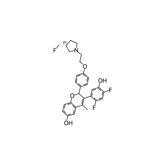 CC1=C(c2cc(O)c(F)cc2F)C(c2ccc(OCCN3CC[C@@H](CF)C3)cc2)Oc2ccc(O)cc21